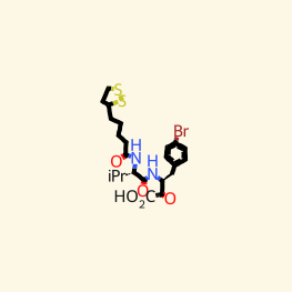 CC(C)[C@H](NC(=O)CCCCC1CCSS1)C(=O)N[C@@H](Cc1ccc(Br)cc1)C(=O)C(=O)O